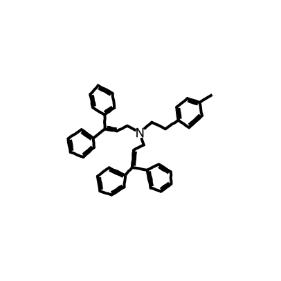 Cc1ccc(CCN(CC=C(c2ccccc2)c2ccccc2)CC=C(c2ccccc2)c2ccccc2)cc1